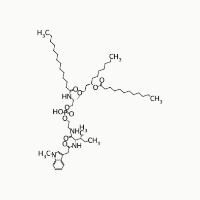 CCCCCCCCCCCCCC(=O)N[C@H](COCC[C@@H](CCCCCCC)OC(=O)CCCCCCCCCCC)COP(=O)(O)OCCNC(=O)[C@@H](NC(=O)Cc1cn(C)c2ccccc12)[C@@H](C)CC